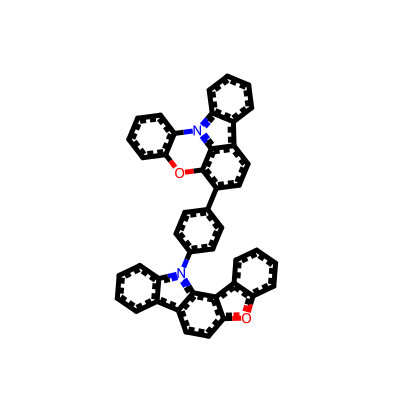 c1ccc2c(c1)Oc1c(-c3ccc(-n4c5ccccc5c5ccc6oc7ccccc7c6c54)cc3)ccc3c4ccccc4n-2c13